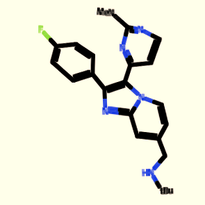 CNc1nccc(-c2c(-c3ccc(F)cc3)nc3cc(CNC(C)(C)C)ccn23)n1